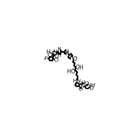 C[C@@H](Oc1cc(-c2cnn(C3CCN(C(=O)CCCC(O)C(O)CCCCNc4cccc5c4C(=O)N(C4CCC(=O)NC4=O)C5=O)CC3)c2)cnc1N)c1c(Cl)ccc(F)c1Cl